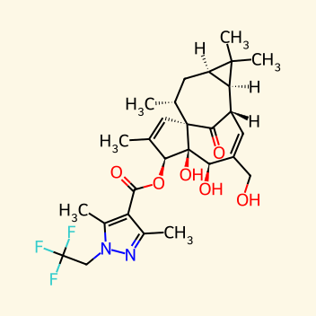 CC1=C[C@]23C(=O)[C@@H](C=C(CO)[C@@H](O)[C@]2(O)[C@H]1OC(=O)c1c(C)nn(CC(F)(F)F)c1C)[C@H]1[C@@H](C[C@H]3C)C1(C)C